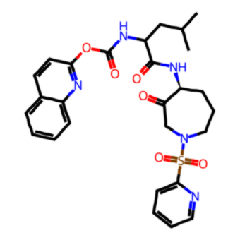 CC(C)CC(NC(=O)Oc1ccc2ccccc2n1)C(=O)N[C@H]1CCCN(S(=O)(=O)c2ccccn2)CC1=O